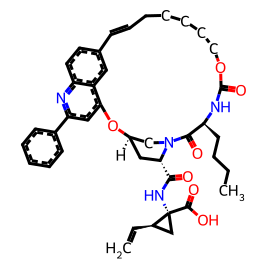 C=C[C@@H]1C[C@]1(NC(=O)[C@@H]1C[C@@H]2CN1C(=O)[C@H](CCCC)NC(=O)OCCCCC/C=C/c1ccc3nc(-c4ccccc4)cc(c3c1)O2)C(=O)O